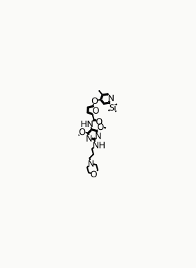 COc1nc(NCCCN2CCOCC2)nc(OC)c1NC(=O)c1ccc(Oc2cc([Si](C)(C)C)ncc2C)o1